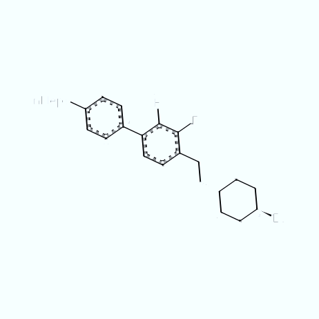 CCCCCCCc1ccc(-c2ccc(CC[C@H]3CC[C@H](CC)CC3)c(F)c2F)cc1